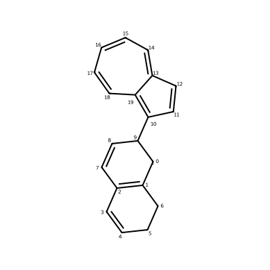 [CH]1C2=C(C=CCC2)C=CC1c1ccc2cccccc1-2